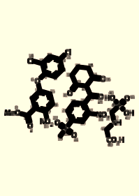 COC(=O)c1cc(Oc2ccc(Cl)cc2Cl)ccc1[N+](=O)[O-].CS(=O)(=O)c1ccc(C(=O)C2C(=O)CCCC2=O)c([N+](=O)[O-])c1.O=C(O)CNCP(=O)(O)O